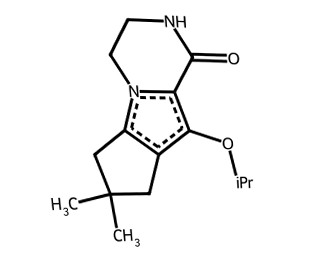 CC(C)Oc1c2c(n3c1C(=O)NCC3)CC(C)(C)C2